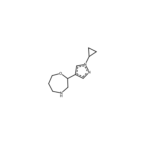 c1nn(C2CC2)cc1C1CNCCCO1